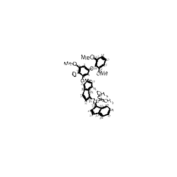 COc1cccc(OC)c1[O-].COc1cccc(OC)c1[O-].C[Si](C)=[Zr+2]([CH]1C=Cc2ccccc21)[CH]1C=Cc2ccccc21